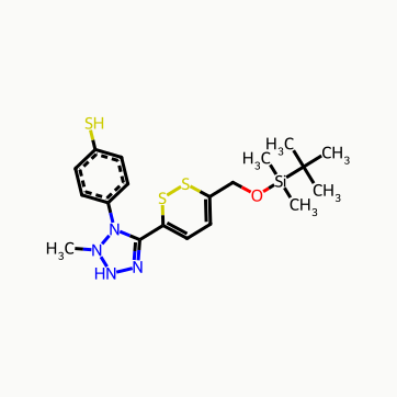 CN1NN=C(C2=CC=C(CO[Si](C)(C)C(C)(C)C)SS2)N1c1ccc(S)cc1